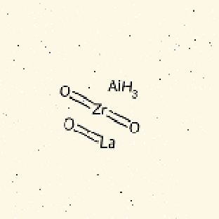 [AlH3].[O]=[La].[O]=[Zr]=[O]